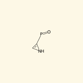 O=PC1=CN1